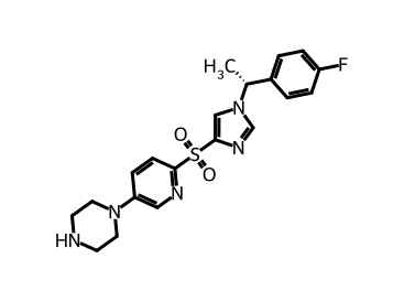 C[C@H](c1ccc(F)cc1)n1cnc(S(=O)(=O)c2ccc(N3CCNCC3)cn2)c1